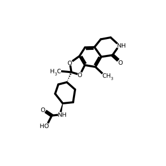 Cc1c2c(cc3c1C(=O)NCC3)OC(C)([C@H]1CC[C@H](NC(=O)O)CC1)O2